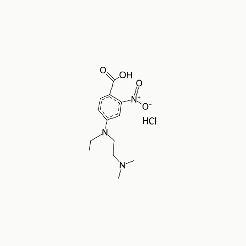 CCN(CCN(C)C)c1ccc(C(=O)O)c([N+](=O)[O-])c1.Cl